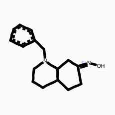 O/N=C1\CCC2CCCN(Cc3ccccc3)C2C1